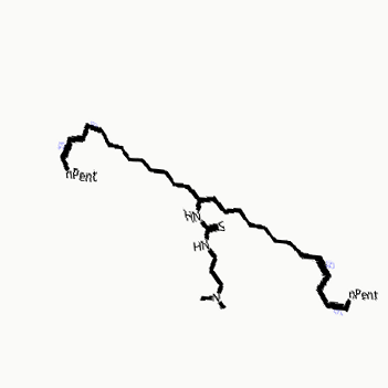 CCCCC/C=C\C/C=C\CCCCCCCCC(CCCCCCCC/C=C\C/C=C\CCCCC)NC(=S)NCCCN(C)C